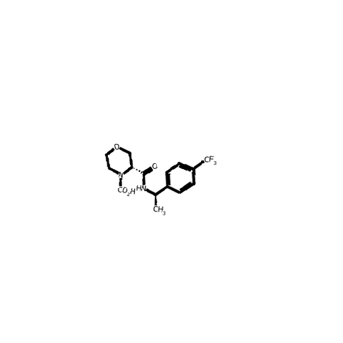 C[C@@H](NC(=O)[C@H]1COCCN1C(=O)O)c1ccc(C(F)(F)F)cc1